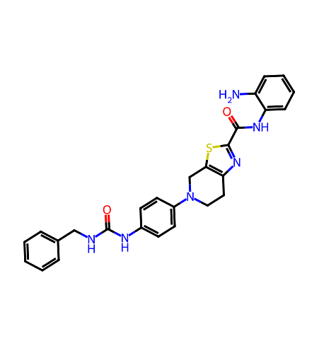 Nc1ccccc1NC(=O)c1nc2c(s1)CN(c1ccc(NC(=O)NCc3ccccc3)cc1)CC2